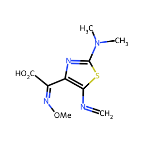 C=Nc1sc(N(C)C)nc1/C(=N\OC)C(=O)O